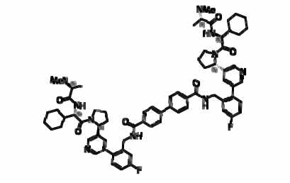 CN[C@@H](C)C(=O)N[C@H](C(=O)N1CCC[C@H]1c1cncc(-c2ccc(F)cc2CNC(=O)c2ccc(-c3ccc(C(=O)NCc4cc(F)ccc4-c4cncc([C@@H]5CCCN5C(=O)[C@@H](NC(=O)[C@H](C)NC)C5CCCCC5)c4)cc3)cc2)c1)C1CCCCC1